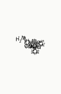 COCC(=O)N(CC(F)CN)[C@@H](c1nc(-c2ccccc2)c(Cl)n1Cc1ccccc1)C(C)(C)C